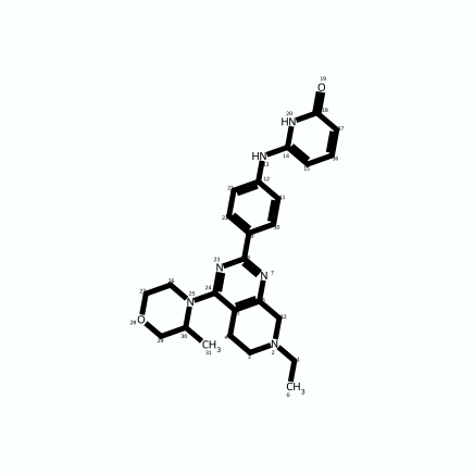 CCN1CCc2c(nc(-c3ccc(Nc4cccc(=O)[nH]4)cc3)nc2N2CCOCC2C)C1